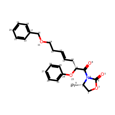 CC(C)[C@H]1COC(=O)N1C(=O)[C@@H](CC=CCCOCc1ccccc1)Oc1ccccc1